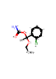 CCC(OCOC)(OC(N)=O)c1ccccc1Cl